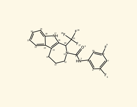 O=C(Nc1cc(F)cc(F)c1)N1CCCc2c([nH]c3ccccc23)C1C(F)(F)F